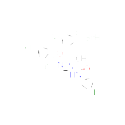 Br.CC(C(=O)Nc1ccc(F)cc1)N1C=CN(C(Cl)C(OCc2ccc(Cl)cc2Cl)c2ccc(Cl)cc2)C1